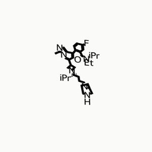 CCN(C(=O)c1cc(F)ccc1-c1cc(C2CN([C@H](CCCN3C4CCC3CNC4)C(C)C)C2)cn2c(C)ncc12)C(C)C